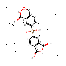 O=C1OOCc2ccc(S(=O)(=O)c3ccc4c(c3)C(=O)OC4=O)cc21